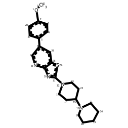 FC(F)(F)Oc1ccc(-c2cnc3nc(N4CCC(N5CCCCC5)CC4)sc3c2)cc1